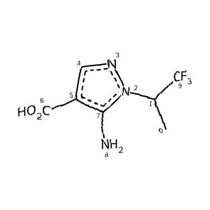 CC(n1ncc(C(=O)O)c1N)C(F)(F)F